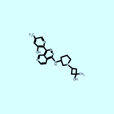 CC1(O)CC(N2CCCC(Nc3nnc(-c4ncc(C(F)(F)F)cc4O)c4cnccc34)C2)C1